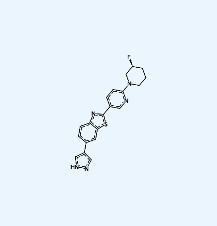 F[C@H]1CCCN(c2ccc(-c3nc4ccc(-c5cn[nH]c5)cc4s3)cn2)C1